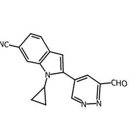 N#Cc1ccc2cc(-c3cnnc(C=O)c3)n(C3CC3)c2c1